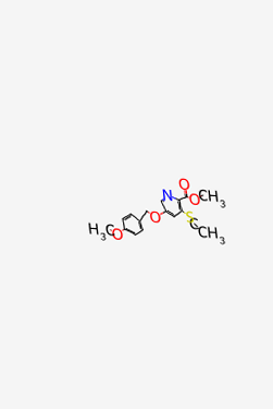 CCSc1cc(OCc2ccc(OC)cc2)cnc1C(=O)OC